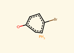 P.[O]c1ccc(Br)cc1